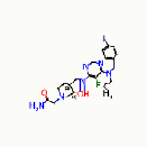 CCN(Cc1ccc(I)cc1)c1ncnc(NC[C@@H]2CCN(CC(N)=O)C[C@H]2O)c1F